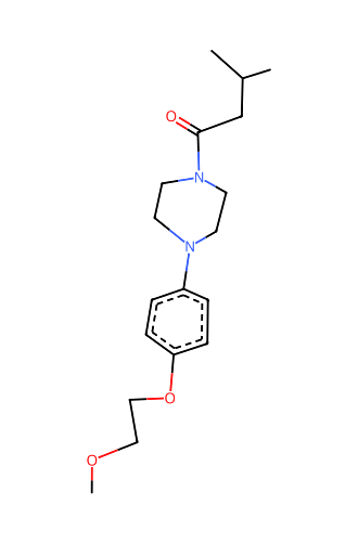 COCCOc1ccc(N2CCN(C(=O)CC(C)C)CC2)cc1